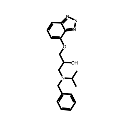 CC(C)N(Cc1ccccc1)CC(O)COc1cccc2nsnc12